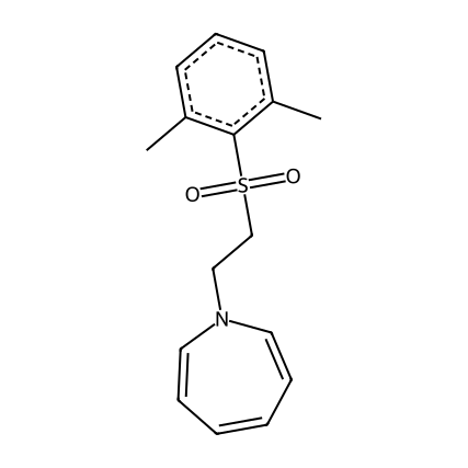 Cc1cccc(C)c1S(=O)(=O)CCN1C=CC=CC=C1